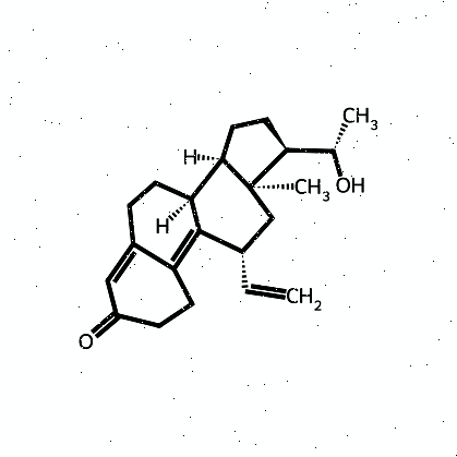 C=C[C@H]1C[C@@]2(C)[C@H](CC[C@H]2[C@H](C)O)[C@@H]2CCC3=CC(=O)CCC3=C21